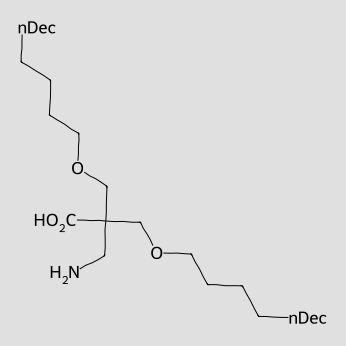 CCCCCCCCCCCCCCOCC(CN)(COCCCCCCCCCCCCCC)C(=O)O